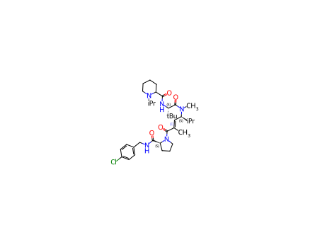 C/C(=C\[C@H](C(C)C)N(C)C(=O)[C@@H](NC(=O)C1CCCCN1C(C)C)C(C)(C)C)C(=O)N1CCC[C@H]1C(=O)NCc1ccc(Cl)cc1